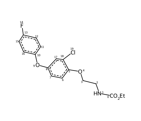 CCOC(=O)NCCOc1ccc(Oc2ccc(F)cc2)cc1Cl